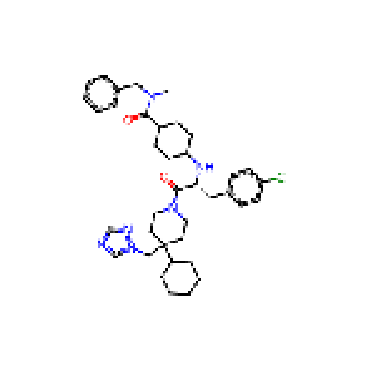 CN(Cc1ccccc1)C(=O)C1CCC(N[C@H](Cc2ccc(Cl)cc2)C(=O)N2CCC(Cn3cncn3)(C3CCCCC3)CC2)CC1